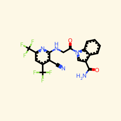 N#Cc1c(C(F)(F)F)cc(C(F)(F)F)nc1NCC(=O)n1cc(C(N)=O)c2ccccc21